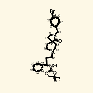 CC(C)(C)OC(=O)NC(CCN1CCC2(CC1)CCN(Cc1ccc(Br)cc1)C2=O)c1ccccn1